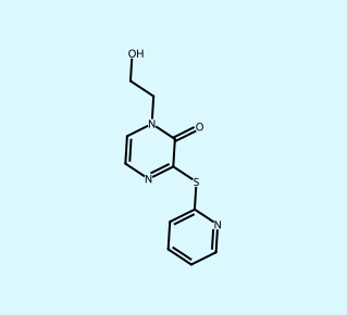 O=c1c(Sc2ccccn2)nccn1CCO